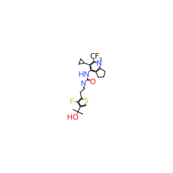 CC(C)(O)c1csc(C/C=N/C(=O)Nc2c3c(nc(C(F)(F)F)c2C2CC2)CCC3)c1F